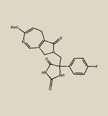 COC1=CCC2=C(C=N1)CN(CC1(c3ccc(F)cc3)NC(=O)NC1=O)C2=O